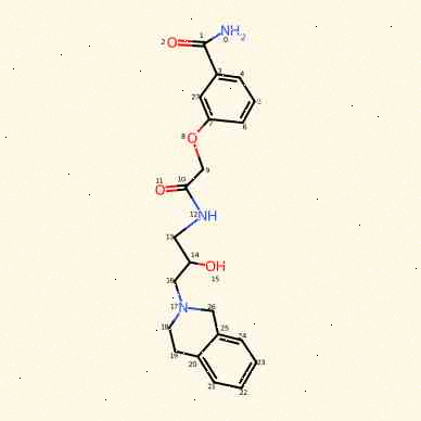 NC(=O)c1cccc(OCC(=O)NCC(O)CN2CCc3ccccc3C2)c1